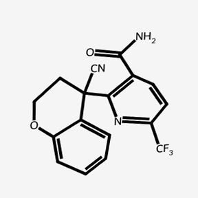 N#CC1(c2nc(C(F)(F)F)ccc2C(N)=O)CCOc2ccccc21